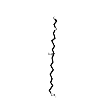 CCCCCCCCCCCCCCCCOCC=O.[NaH]